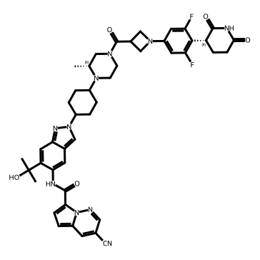 C[C@@H]1CN(C(=O)C2CN(c3cc(F)c([C@H]4CCC(=O)NC4=O)c(F)c3)C2)CCN1C1CCC(n2cc3cc(NC(=O)c4ccc5cc(C#N)cnn45)c(C(C)(C)O)cc3n2)CC1